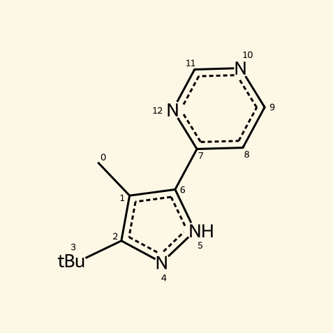 Cc1c(C(C)(C)C)n[nH]c1-c1ccncn1